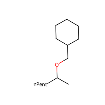 CCCCCC(C)OCC1CCCCC1